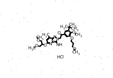 COCCCOc1cc(C(=O)Cn2nc3c(C)cc(OC(COC)COC)nn3c2=N)cc(C(C)(C)C)c1OC.Cl